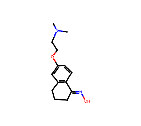 CN(C)CCOc1ccc2c(c1)CCC/C2=N\O